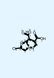 O=C(O)c1cnn2cc(Cl)nc2c1C(=O)O